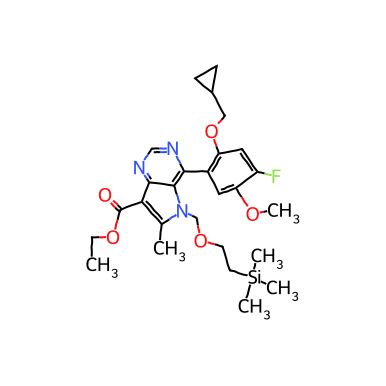 CCOC(=O)c1c(C)n(COCC[Si](C)(C)C)c2c(-c3cc(OC)c(F)cc3OCC3CC3)ncnc12